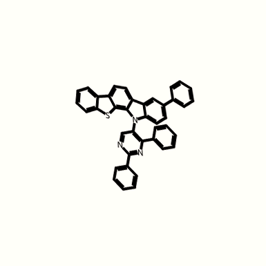 c1ccc(-c2ccc3c(c2)c2ccc4c5ccccc5sc4c2n3-c2cnc(-c3ccccc3)nc2-c2ccccc2)cc1